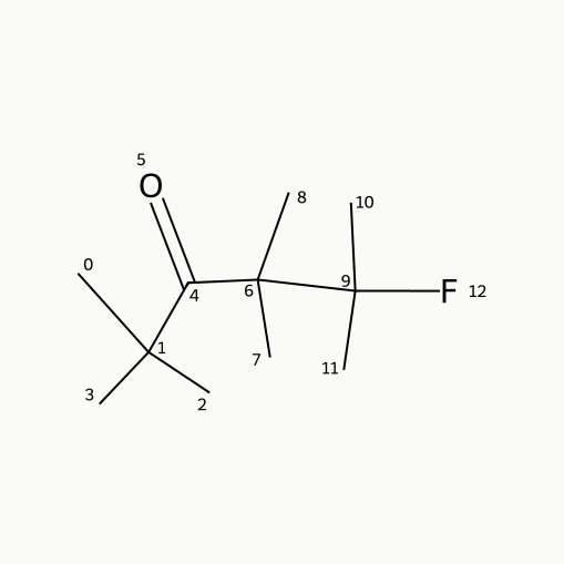 CC(C)(C)C(=O)C(C)(C)C(C)(C)F